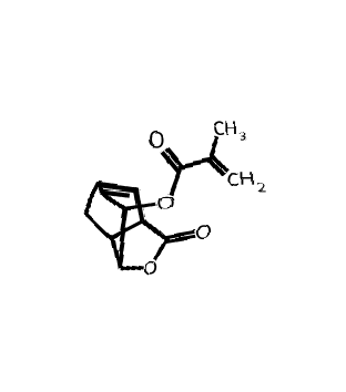 C=C(C)C(=O)OC1C2=CC3C(=O)OC1C3C2